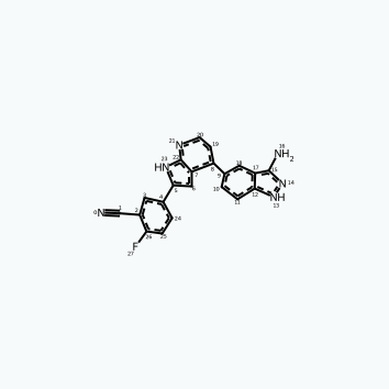 N#Cc1cc(-c2cc3c(-c4ccc5[nH]nc(N)c5c4)ccnc3[nH]2)ccc1F